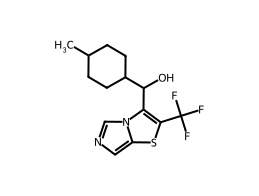 CC1CCC(C(O)c2c(C(F)(F)F)sc3cncn23)CC1